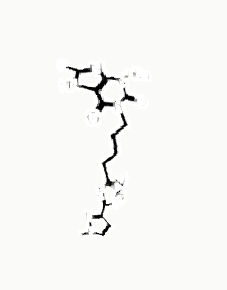 CCCCn1c(=O)n(CCCCc2noc(-c3ccn(C)n3)n2)c(=O)c2[nH]c(Cl)nc21